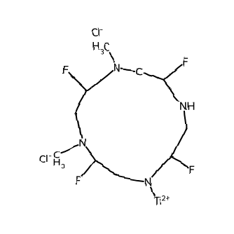 CN1CC(F)NCC(F)[N]([Ti+2])CC(F)N(C)CC1F.[Cl-].[Cl-]